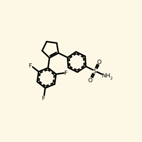 NS(=O)(=O)c1ccc(C2=C(c3c(F)cc(F)cc3F)CCC2)cc1